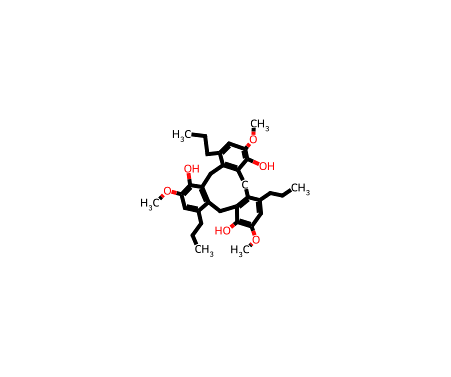 CCCc1cc(OC)c(O)c2c1Cc1c(O)c(OC)cc(CCC)c1Cc1c(O)c(OC)cc(CCC)c1C2